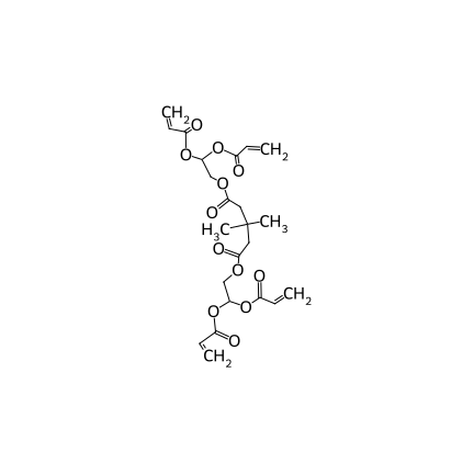 C=CC(=O)OC(COC(=O)CC(C)(C)CC(=O)OCC(OC(=O)C=C)OC(=O)C=C)OC(=O)C=C